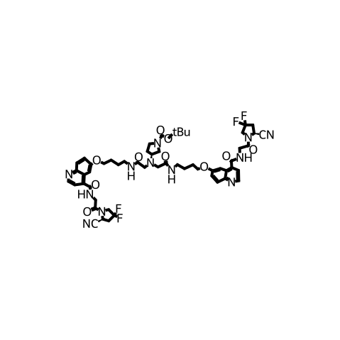 CC(C)(C)OC(=O)N1CC[C@H](N(CC(=O)NCCCCOc2ccc3nccc(C(=O)NCC(=O)N4CC(F)(F)C[C@H]4C#N)c3c2)CC(=O)NCCCCOc2ccc3nccc(C(=O)NCC(=O)N4CC(F)(F)C[C@H]4C#N)c3c2)C1